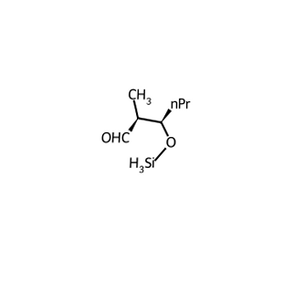 CCC[C@@H](O[SiH3])[C@H](C)C=O